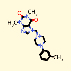 Cc1cccc(N2CCN(Cn3cnc4c3c(=O)n(C)c(=O)n4C)CC2)c1